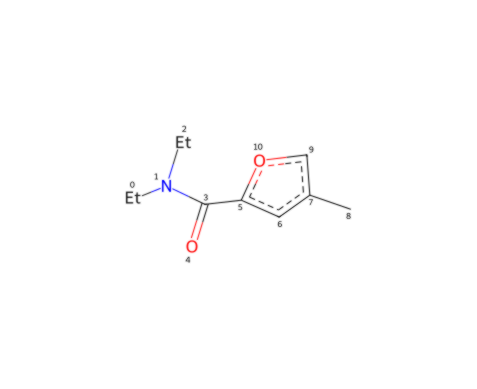 CCN(CC)C(=O)c1cc(C)co1